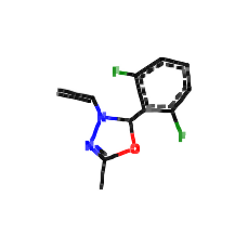 C=CN1N=C(C)OC1c1c(F)cccc1F